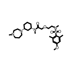 COc1cc(C)c(S(=O)(=O)N(C)CCOCC(=O)N(C)[C@H]2CCC[C@@H](N3CCCN(C)CC3)C2)c(C)c1